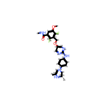 CNC(=O)c1cc(OC)c(F)c(COc2cnc(Nc3ccc(N4C=C(C)N[C@@H](C)C4)cc3)nc2)c1F